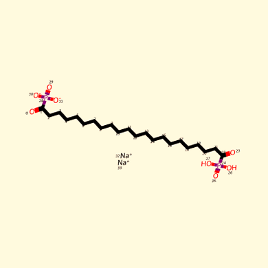 O=C(CCCCCCCCCCCCCCCCCCCCC(=O)P(=O)(O)O)P(=O)([O-])[O-].[Na+].[Na+]